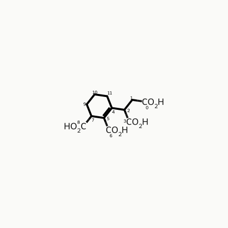 O=C(O)CC(C(=O)O)C1=C(C(=O)O)C(C(=O)O)CCC1